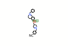 Cl.Cl.N#Cc1ccc(CN2CCC(COc3ccc4c(c3)CCCN(Cc3ccccc3)C4)CC2)cc1